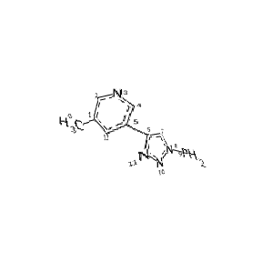 Cc1cncc(-c2cn(P)nn2)c1